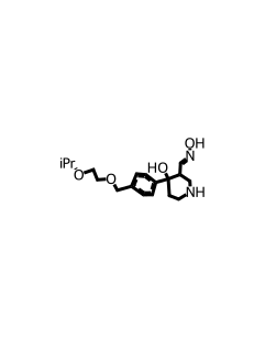 CC(C)OCCOCc1ccc(C2(O)CCNCC2C=NO)cc1